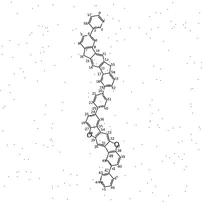 c1ccc(-c2ccc3c(c2)-c2cc4c(cc2C3)-c2cc(-c3ccc(-c5ccc6oc7cc8c(cc7c6c5)oc5ccc(-c6ccccc6)cc58)cc3)ccc2C4)cc1